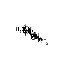 Cc1cc(Nc2ncc(Cl)c(Nc3ccccc3P(C)(C)=O)n2)cc2c1N1CCN(C3CN(CC(F)(F)F)C3)C[C@@H]1CO2